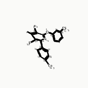 Cc1c(F)c(Oc2cccc(C(F)(F)F)c2)nc(-c2ccc(C(F)(F)F)cc2)c1F